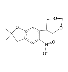 CC1(C)Cc2cc([N+](=O)[O-])c(C3COCOC3)cc2O1